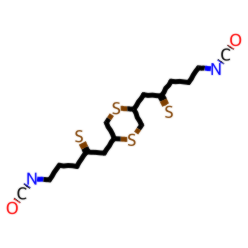 O=C=NCCCC(=S)CC1CSC(CC(=S)CCCN=C=O)CS1